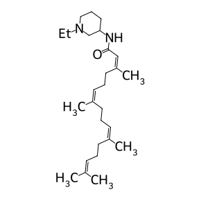 CCN1CCCC(NC(=O)C=C(C)CCC=C(C)CCC=C(C)CCC=C(C)C)C1